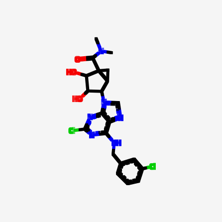 CN(C)C(=O)C12CC1C(n1cnc3c(NCc4cccc(Cl)c4)nc(Cl)nc31)C(O)C2O